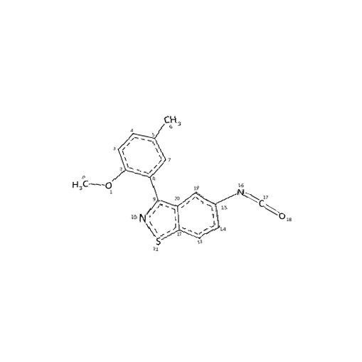 COc1ccc(C)cc1-c1nsc2ccc(N=C=O)cc12